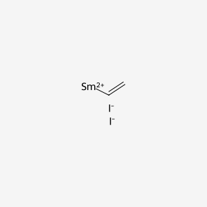 C=[CH][Sm+2].[I-].[I-]